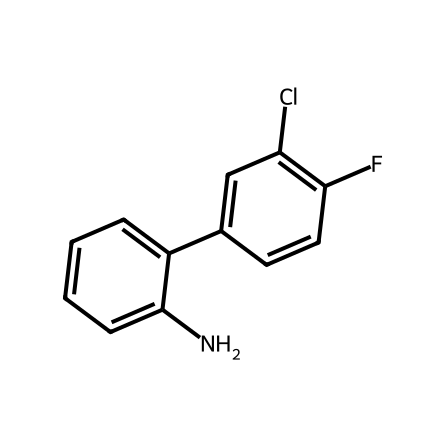 Nc1ccccc1-c1ccc(F)c(Cl)c1